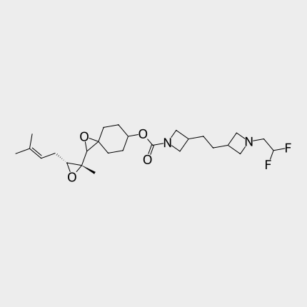 CC(C)=CC[C@H]1O[C@@]1(C)C1OC12CCC(OC(=O)N1CC(CCC3CN(CC(F)F)C3)C1)CC2